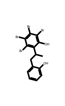 CC(Cc1ccccc1O)c1c(O)c(Br)c(Br)c(Br)c1Br